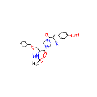 CC(=O)NC(COCc1ccccc1)C(=O)N1CCN(C(=O)/C(C#N)=C/c2ccc(O)cc2)CC1